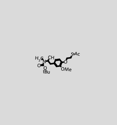 COc1cc(CC(C)N(C)C(=O)OC(C)(C)C)ccc1OCCSC(C)=O